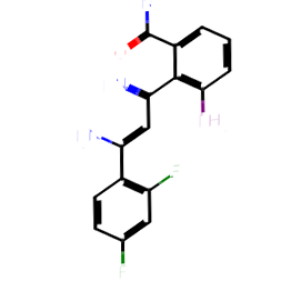 N=C(/C=C(\N)c1ccc(F)cc1F)c1c(P)cccc1C(N)=O